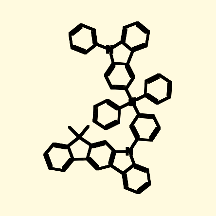 CC1(C)c2ccccc2-c2cc3c4ccccc4n(-c4cccc([Si](c5ccccc5)(c5ccccc5)c5ccc6c(c5)c5ccccc5n6-c5ccccc5)c4)c3cc21